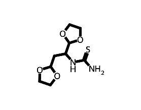 NC(=S)NC(CC1OCCO1)C1OCCO1